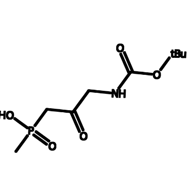 CC(C)(C)OC(=O)NCC(=O)CP(C)(=O)O